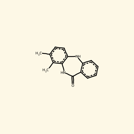 Cc1ccc2c(c1C)NC(=O)c1ccccc1N2